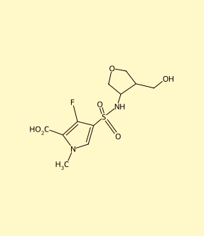 Cn1cc(S(=O)(=O)NC2COCC2CO)c(F)c1C(=O)O